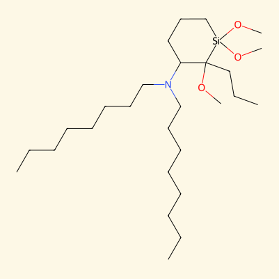 CCCCCCCCN(CCCCCCCC)C1CCC[Si](OC)(OC)C1(CCC)OC